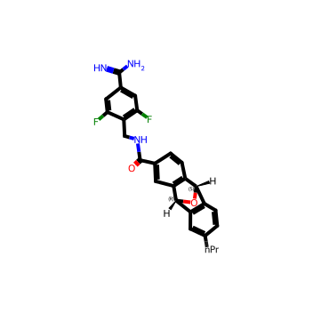 CCCc1ccc2c(c1)[C@H]1O[C@@H]2c2ccc(C(=O)NCc3c(F)cc(C(=N)N)cc3F)cc21